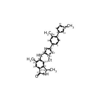 CCn1nc(-c2ccc(-c3ccn(C)c3)c(C)c2)nc1Nc1cc2c(cc1C)C(=O)NC2C